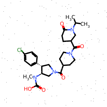 CC(C)N1CC(C(=O)N2CCC(C(=O)N3C[C@@H](N(C)C(=O)O)[C@H](c4ccc(Cl)cc4)C3)CC2)CCC1=O